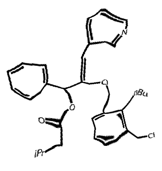 CCCCc1c(Cl)cccc1OC(=Cc1cccnc1)C(OC(=O)CC(C)C)c1ccccc1